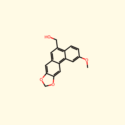 COc1ccc2c(CO)cc3cc4c(cc3c2c1)OCO4